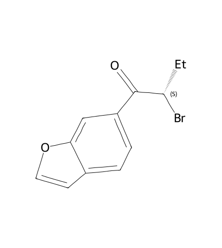 CC[C@H](Br)C(=O)c1ccc2ccoc2c1